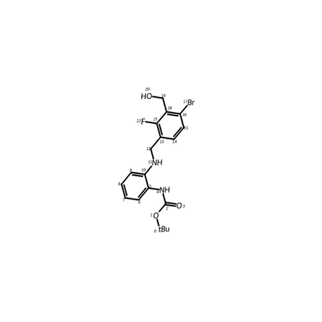 CC(C)(C)OC(=O)Nc1ccccc1NCc1ccc(Br)c(CO)c1F